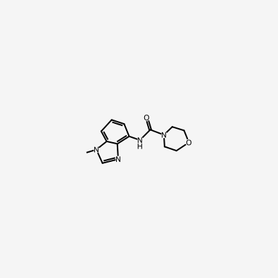 Cn1cnc2c(NC(=O)N3CCOCC3)cccc21